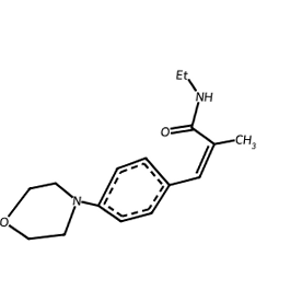 CCNC(=O)/C(C)=C\c1ccc(N2CCOCC2)cc1